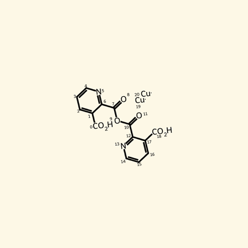 O=C(O)c1cccnc1C(=O)OC(=O)c1ncccc1C(=O)O.[Cu].[Cu]